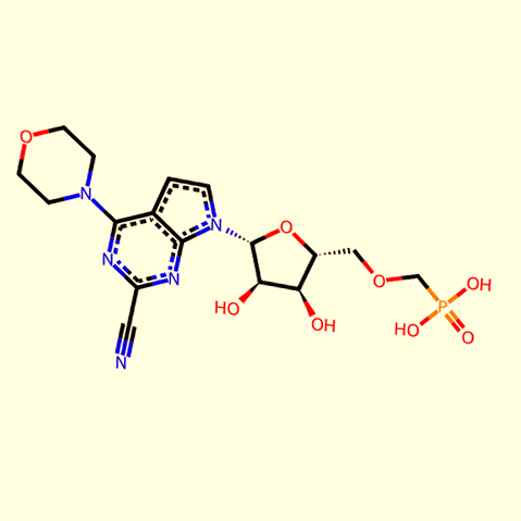 N#Cc1nc(N2CCOCC2)c2ccn([C@@H]3O[C@H](COCP(=O)(O)O)[C@@H](O)[C@H]3O)c2n1